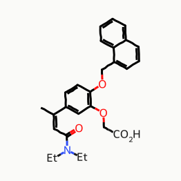 CCN(CC)C(=O)/C=C(/C)c1ccc(OCc2cccc3ccccc23)c(OCC(=O)O)c1